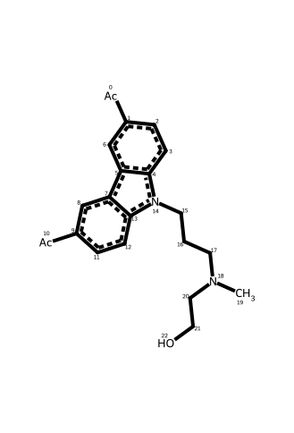 CC(=O)c1ccc2c(c1)c1cc(C(C)=O)ccc1n2CCCN(C)CCO